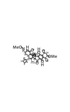 CO/N=C/c1cc2c(-c3cccs3)c3c(c(O)c2c(=O)[nH]1)[C@@]1(CC3)C(=O)c2c(O)c3c(c(O)c2C1=O)C(=O)C(OC)=CC3=O